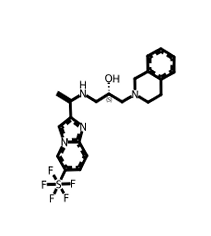 C=C(NC[C@H](O)CN1CCc2ccccc2C1)c1cn2cc(S(F)(F)(F)(F)F)ccc2n1